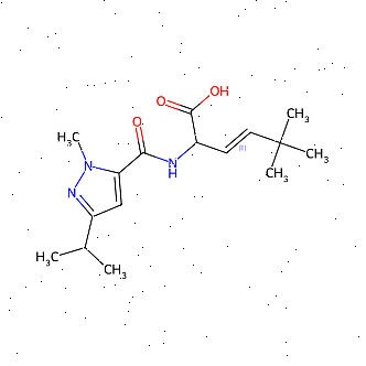 CC(C)c1cc(C(=O)NC(/C=C/C(C)(C)C)C(=O)O)n(C)n1